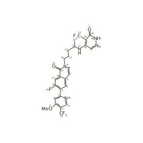 COc1cc(-c2cc3ccn(CCCC(C)Nc4cn[nH]c(=O)c4C(F)(F)F)c(=O)c3cc2F)ncc1C(F)(F)F